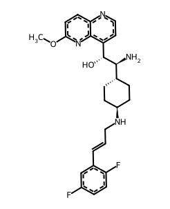 COc1ccc2nccc([C@@H](O)[C@@H](N)[C@H]3CC[C@H](NCC=Cc4cc(F)ccc4F)CC3)c2n1